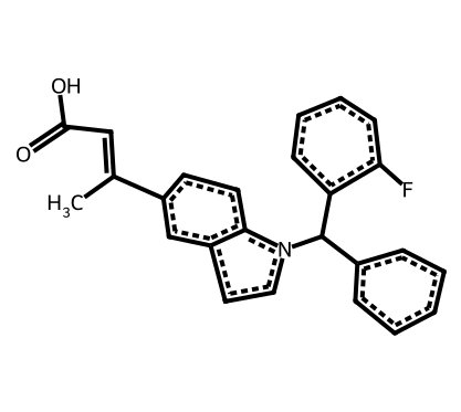 C/C(=C\C(=O)O)c1ccc2c(ccn2C(c2ccccc2)c2ccccc2F)c1